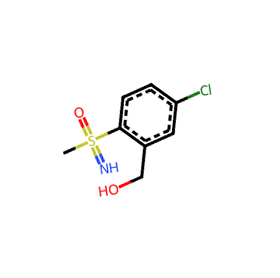 CS(=N)(=O)c1ccc(Cl)cc1CO